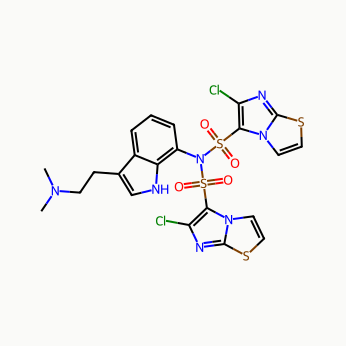 CN(C)CCc1c[nH]c2c(N(S(=O)(=O)c3c(Cl)nc4sccn34)S(=O)(=O)c3c(Cl)nc4sccn34)cccc12